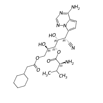 CC(C)[C@H](N)C(=O)O[C@@H]([C@H](O)[C@@H](C#N)c1ccc2c(N)ncnn12)[C@H](O)COC(=O)CC1CCCCC1